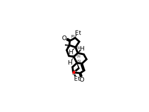 CCSC[C@]12CCC(=O)C=C1CC[C@@H]1[C@@H]2CC[C@]2(C)C(=O)[C@H](CC)C[C@@H]12